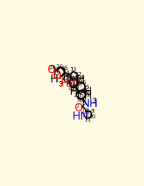 C[C@]12CC[C@H](NC(=O)[C@H]3CCCN3)C[C@H]1CC[C@@H]1[C@@H]2CC[C@]2(C)[C@@H](c3ccc(=O)oc3)CC[C@]12O